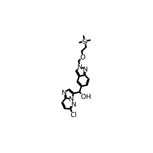 C[Si](C)(C)CCOCn1cc2cc(C(O)c3cnc4ccc(Cl)nn34)ccc2n1